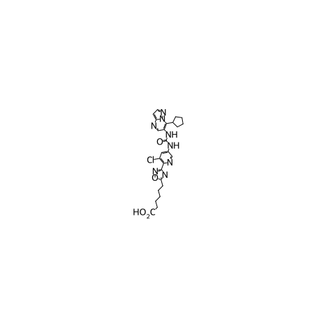 O=C(O)CCCCCc1nc(-c2ncc(NC(=O)Nc3cnc4ccnn4c3C3CCCC3)cc2Cl)no1